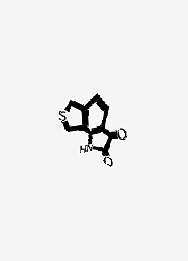 O=C1Nc2c(ccc3c2CSC3)C1=O